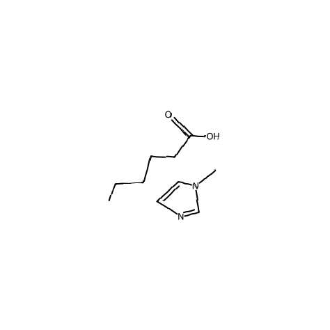 CCCCCC(=O)O.Cn1ccnc1